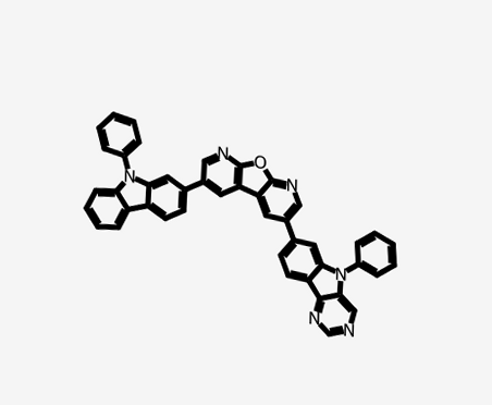 c1ccc(-n2c3ccccc3c3ccc(-c4cnc5oc6ncc(-c7ccc8c9ncncc9n(-c9ccccc9)c8c7)cc6c5c4)cc32)cc1